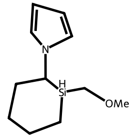 COC[SiH]1CCCCC1n1cccc1